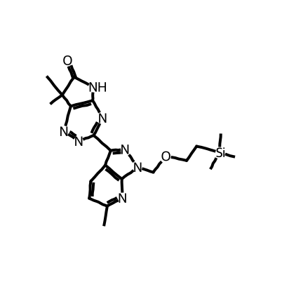 Cc1ccc2c(-c3nnc4c(n3)NC(=O)C4(C)C)nn(COCC[Si](C)(C)C)c2n1